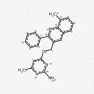 Cc1cc(OCc2cc3cccc(C)c3nc2-c2ccccc2)nc(N)n1